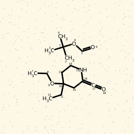 CC(C)(C)OC=O.CCOC1(CC)CCNC(=C=O)C1